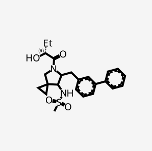 CC[C@@H](O)C(=O)N1CC2(CC2)C(NS(C)(=O)=O)C1Cc1cccc(-c2ccccc2)c1